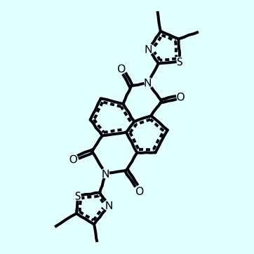 Cc1nc(N2C(=O)c3ccc4c5c(ccc(c35)C2=O)C(=O)N(c2nc(C)c(C)s2)C4=O)sc1C